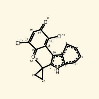 CC1(c2[nH]c3ccccc3c2C2=C(Cl)C(=O)C=C(Cl)C2=O)CC1